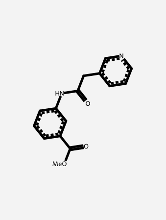 COC(=O)c1cccc(NC(=O)Cc2cccnc2)c1